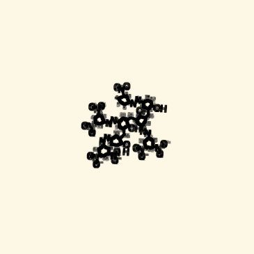 O=[N+]([O-])c1cccc(N=Nc2ccc(O)c(Cc3cc(N=Nc4cc([N+](=O)[O-])cc([N+](=O)[O-])c4)cc(Cc4cc(N=Nc5cc([N+](=O)[O-])cc([N+](=O)[O-])c5)cc(Cc5cc(N=Nc6cc([N+](=O)[O-])cc([N+](=O)[O-])c6)ccc5O)c4O)c3O)c2)c1